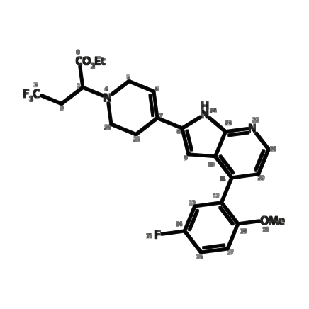 CCOC(=O)C(CC(F)(F)F)N1CC=C(c2cc3c(-c4cc(F)ccc4OC)ccnc3[nH]2)CC1